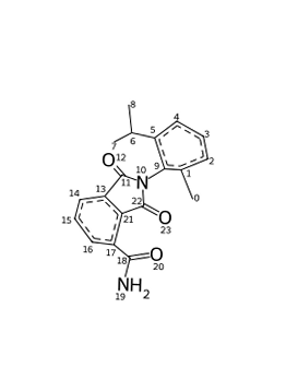 Cc1cccc(C(C)C)c1N1C(=O)c2cccc(C(N)=O)c2C1=O